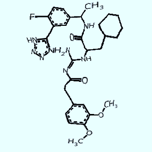 COc1ccc(CC(=O)N=C(N)NC(CC2CCCCC2)C(=O)NC(C)c2ccc(F)c(-c3nnn[nH]3)c2)cc1OC